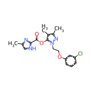 Cc1c[nH]c(C(=O)Oc2c(C)c(C)nn2CCOc2cccc(Cl)c2)n1